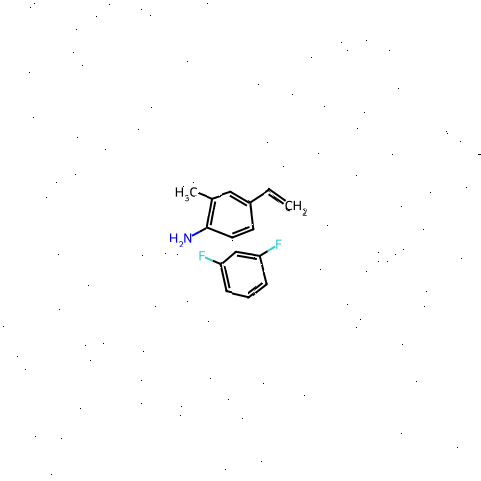 C=Cc1ccc(N)c(C)c1.Fc1cccc(F)c1